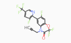 C#CCN1C(=O)C(F)(F)Oc2cc(F)c(-c3ncc(C(F)(F)F)cc3F)cc21